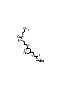 C=CCOC(=O)NCCNC(=O)CC(CNC(=O)OC(C)(C)C)CC(C)C